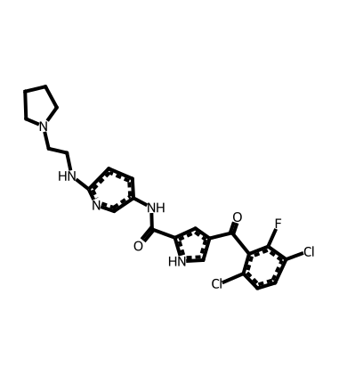 O=C(Nc1ccc(NCCN2CCCC2)nc1)c1cc(C(=O)c2c(Cl)ccc(Cl)c2F)c[nH]1